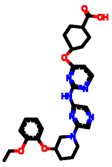 CCOc1ccccc1OC1CCCN(c2cncc(Nc3nccc(OC4CCC(C(=O)O)CC4)n3)n2)C1